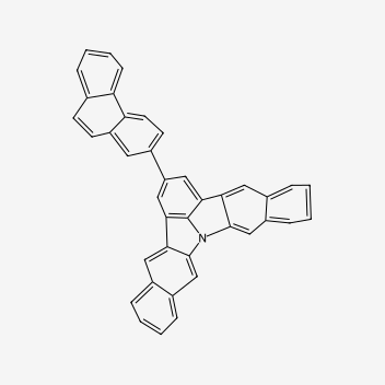 c1ccc2cc3c(cc2c1)c1cc(-c2ccc4c(ccc5ccccc54)c2)cc2c4cc5ccccc5cc4n3c12